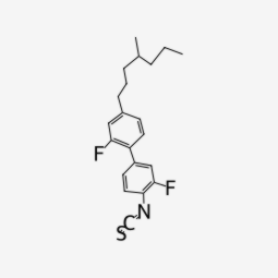 CCCC(C)CCCc1ccc(-c2ccc(N=C=S)c(F)c2)c(F)c1